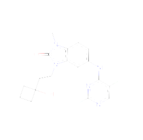 Cn1c(=O)n(CCC2(O)CCC2)c2cc(Nc3nc(F)ncc3Cl)ccc21